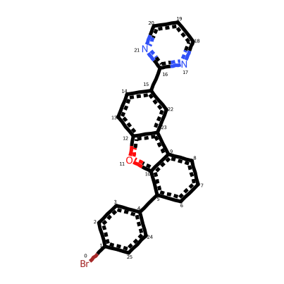 Brc1ccc(-c2cccc3c2oc2ccc(-c4ncccn4)cc23)cc1